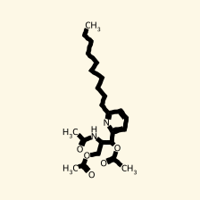 CCCCCCCCCCc1cccc(C(OC(C)=O)C(COC(C)=O)NC(C)=O)n1